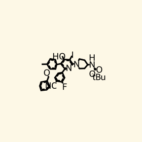 Cc1ccc(-c2c(-c3ccc(C#N)c(F)c3)nc(N3CCC(NC(=O)OC(C)(C)C)CC3)c(I)c2O)cc1OCc1ccccc1